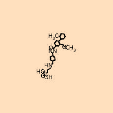 COCc1cc(-c2nc(-c3ccc(CNCCCP(=O)(O)O)cc3)no2)ccc1-c1ccccc1C